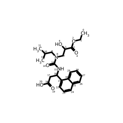 CCOC(=O)C(O)CN(CC(C)C)C(=O)NC(CC(=O)O)c1cccc2ccccc12